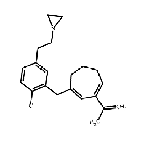 C=C(C)C1=CCCCC(Cc2cc(CCN3CC3)ccc2Cl)=C1